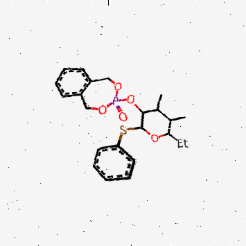 CCC1OC(Sc2ccccc2)C(OP2(=O)OCc3ccccc3CO2)C(C)C1C